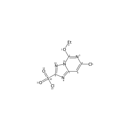 CCOc1nc(Cl)cc2nc(S(=O)(=O)Cl)nn12